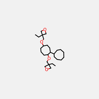 CCC1(COC2CCCC(OCC3(CC)COC3)C(C3CCCCCCC3)CC2)COC1